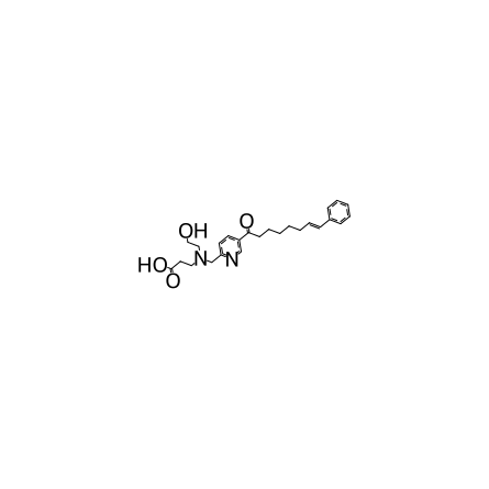 O=C(O)CCN(CCO)Cc1ccc(C(=O)CCCCC/C=C/c2ccccc2)cn1